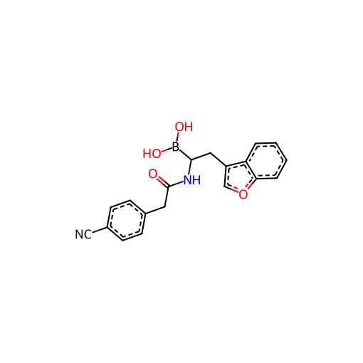 N#Cc1ccc(CC(=O)NC(Cc2coc3ccccc23)B(O)O)cc1